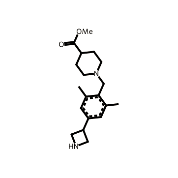 COC(=O)C1CCN(Cc2c(C)cc(C3CNC3)cc2C)CC1